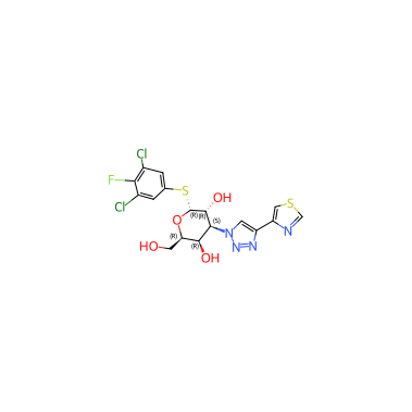 OC[C@H]1O[C@H](Sc2cc(Cl)c(F)c(Cl)c2)[C@H](O)[C@@H](n2cc(-c3cscn3)nn2)[C@H]1O